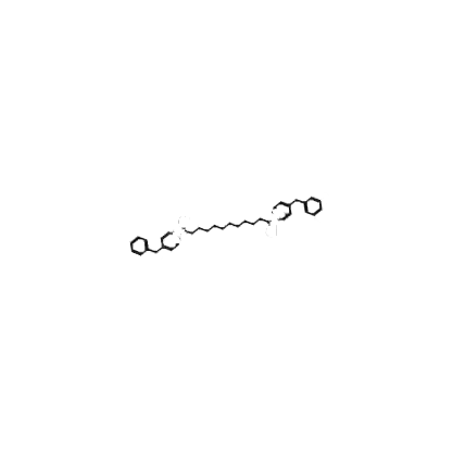 ClC(CCCCCCCCCCC(Cl)[n+]1ccc(Cc2ccccc2)cc1)[n+]1ccc(Cc2ccccc2)cc1